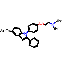 COc1ccc2c(c1)cc(-c1ccccc1)n2-c1ccc(OCCN(C(C)C)C(C)C)cc1